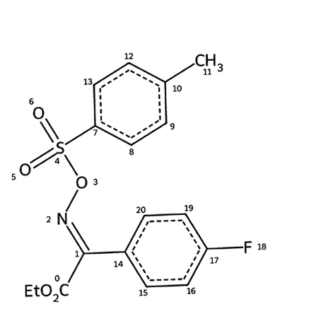 CCOC(=O)C(=NOS(=O)(=O)c1ccc(C)cc1)c1ccc(F)cc1